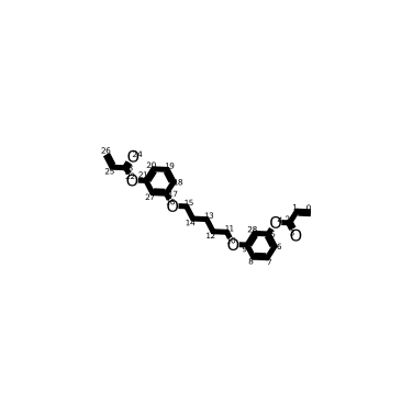 C=CC(=O)Oc1cccc(OCCCCCOc2cccc(OC(=O)C=C)c2)c1